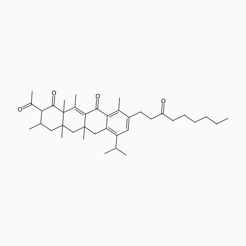 CCCCCCC(=O)CCc1cc(C(C)C)c2c(c1C)C(=O)C1=C(C)C3(C)C(=O)C(C(C)=O)C(C)CC3(C)CC1(C)C2